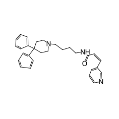 O=C(/C=C\c1cccnc1)NCCCCN1CCC(c2ccccc2)(c2ccccc2)CC1